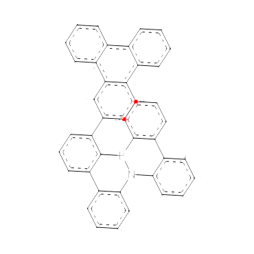 c1ccc2c(c1)B1c3c(-c4ccc5c6ccccc6c6ccccc6c5c4)cccc3-c3ccccc3N1c1ccccc1-2